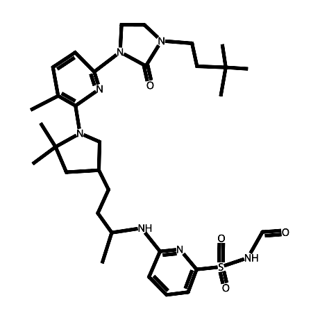 Cc1ccc(N2CCN(CCC(C)(C)C)C2=O)nc1N1CC(CCC(C)Nc2cccc(S(=O)(=O)NC=O)n2)CC1(C)C